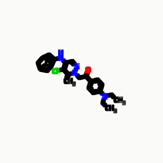 C=C1C(Cl)=C(NC23CC4CC(CC2C4)C3)C=NN1CC(=O)c1ccc(N(CC)CC)cc1